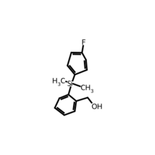 C[Si](C)(c1ccc(F)cc1)c1ccccc1CO